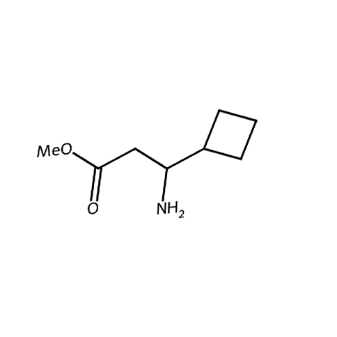 COC(=O)CC(N)C1CCC1